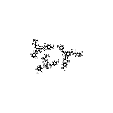 CCc1ccc(N(C=O)OCC2(C(=O)NCc3cccc(F)c3C)CCN(C(=O)CN)CC2)cc1.CCc1ccc(NC(=O)OCC2(C(=O)NCc3cccc(Cl)c3C)CCN(C(=O)CN)CC2)cc1.CCc1ccc(NC(=O)OCC2(C(=O)NCc3cccc(F)c3)CCN(C(=O)CNC(=O)OC(C)(C)C)CC2)cc1